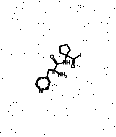 N[C@@H](Cc1ccncc1)C(=O)NC1(C(=O)I)CCCC1